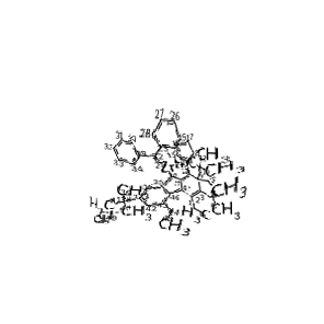 CCC1=C(CC)C(CC)(C(C)(C)C)C(C2=CC=CC2)=C2[C]([Zr+2]=[C](c3ccccc3)c3ccccc3)=c3cc(C(C)(C)C)cc(CC)c3=C12.[Cl-].[Cl-]